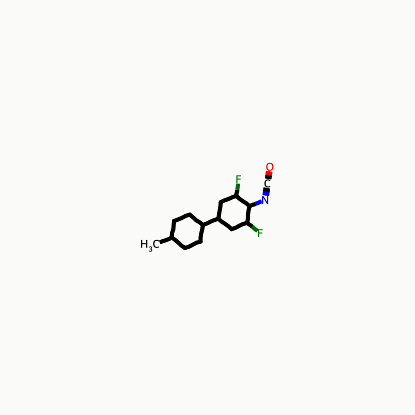 CC1CCC(C2CC(F)C(N=C=O)C(F)C2)CC1